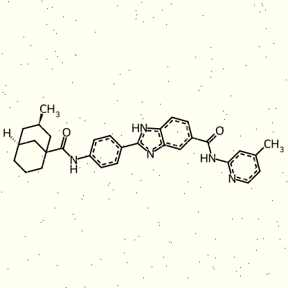 Cc1ccnc(NC(=O)c2ccc3[nH]c(-c4ccc(NC(=O)C56CCC[C@@H](C[C@@H](C)C5)C6)cc4)nc3c2)c1